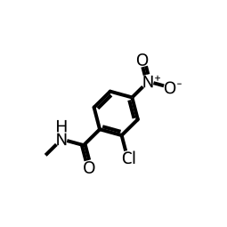 CNC(=O)c1ccc([N+](=O)[O-])cc1Cl